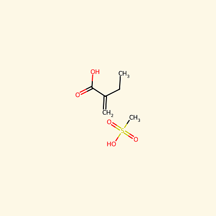 C=C(CC)C(=O)O.CS(=O)(=O)O